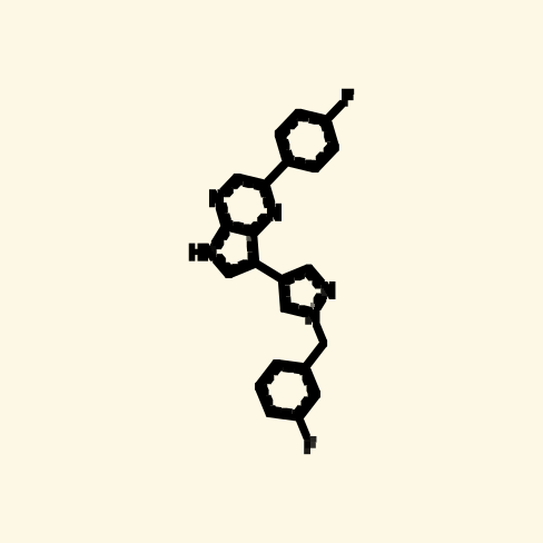 Fc1ccc(-c2cnc3[nH]cc(-c4cnn(Cc5cccc(F)c5)c4)c3n2)cc1